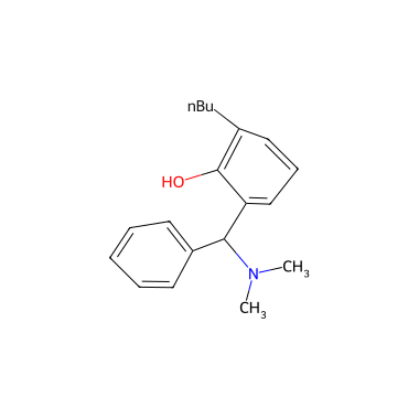 CCCCc1cccc(C(c2ccccc2)N(C)C)c1O